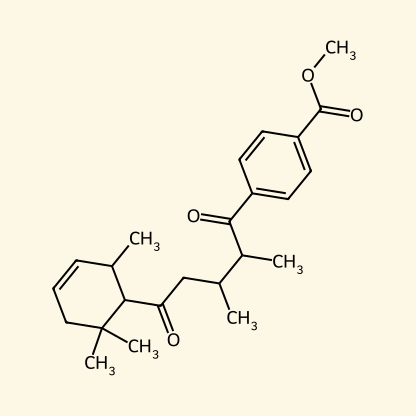 COC(=O)c1ccc(C(=O)C(C)C(C)CC(=O)C2C(C)C=CCC2(C)C)cc1